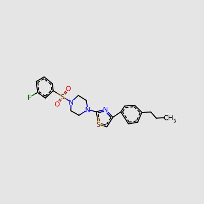 CCCc1ccc(-c2csc(N3CCN(S(=O)(=O)c4cccc(F)c4)CC3)n2)cc1